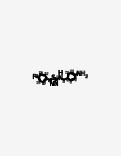 Nc1ccc(CNc2nnc(-c3ccc(F)cc3)s2)cc1